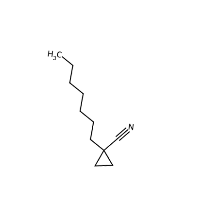 CCCCCCCC1(C#N)CC1